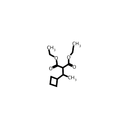 CCOC(=O)C(C(=O)OCC)C(C)C1CCC1